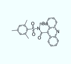 CCCCN(C(=O)c1c2ccccc2nc2ccccc12)S(=O)(=O)c1c(C)cc(C)cc1C